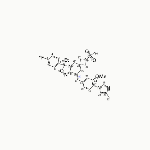 CCC1(c2ccc(F)cc2)ON=C2/C(=C/c3ccc(-n4cnc(C)c4)c(OC)c3)CC3(CN21)CN(S(C)(=O)=O)C3